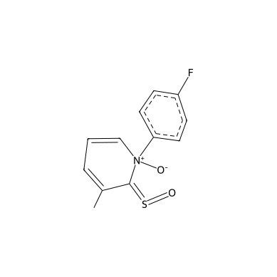 CC1=CC=C[N+]([O-])(c2ccc(F)cc2)C1=S=O